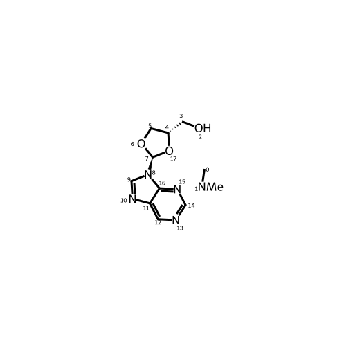 CNC.OC[C@H]1CO[C@H](n2cnc3cncnc32)O1